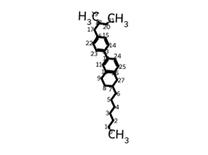 CCCCCCCC1CCc2cc(-c3ccc(CC(C)CC)cc3)ccc2C1